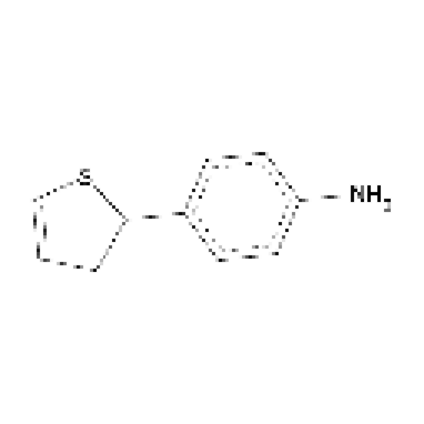 Nc1ccc([C]2CC=CS2)cc1